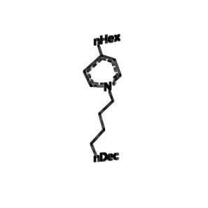 CCCCCCCCCCCCCC[n+]1ccc(CCCCCC)cc1